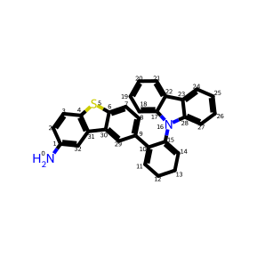 Nc1ccc2sc3ccc(C4=CCCC=C4n4c5ccccc5c5ccccc54)cc3c2c1